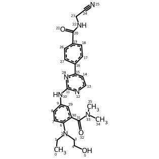 CCN(CCO)c1ccc(Nc2nccc(-c3ccc(C(=O)NCC#N)cc3)n2)cc1C(=O)N(C)C